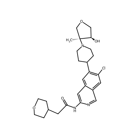 C[C@]1(N2CCC(c3cc4cc(NC(=O)CC5CCOCC5)ncc4cc3Cl)CC2)COC[C@H]1O